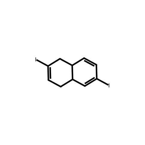 IC1=CC2CC=C(I)CC2C=C1